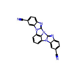 N#Cc1ccc2nc3n(c2c1)c1cccc2c1n3c1nc3ccc(C#N)cc3n21